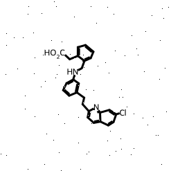 O=C(O)Cc1ccccc1CNc1cccc(CCc2ccc3ccc(Cl)cc3n2)c1